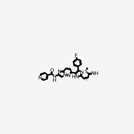 CSC(=N)/C=C\c1nc(-c2ccc(F)cc2)c(-c2ccc3nc(NC(=O)c4ccncc4)cn3n2)[nH]1